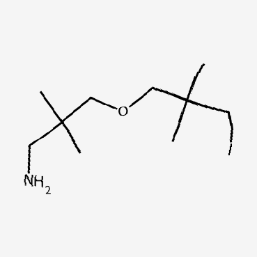 CC(C)(CN)COCC(C)(C)CI